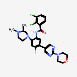 CC1CN(c2cc(F)c(-c3cnc(N4CCOCC4)nc3)cc2NC(=O)c2cccc(Cl)c2Cl)CCN1C